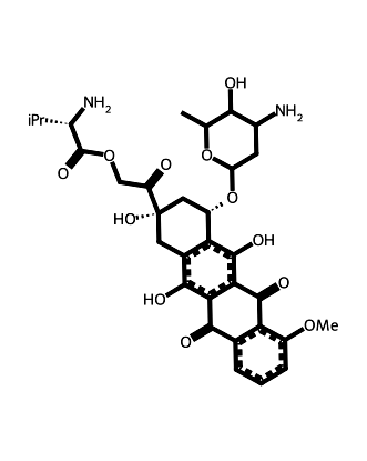 COc1cccc2c1C(=O)c1c(O)c3c(c(O)c1C2=O)C[C@@](O)(C(=O)COC(=O)[C@@H](N)C(C)C)C[C@@H]3OC1CC(N)C(O)C(C)O1